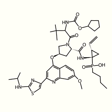 C=C[C@@H]1C[C@]1(NC(=O)[C@@H]1C[C@@H](Oc2cc(-c3csc(NC(C)C)n3)nc3cc(OC)ccc23)CN1C(=O)C(NC(=O)OC1CCCC1)C(C)(C)C)P(=O)(O)CCCC